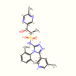 COc1cccc(OC)c1-n1c(NS(=O)(=O)[C@H](C)[C@@H](O)c2cnc(C)cn2)nnc1-c1cncc(C)c1